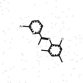 CC(=O)c1cccc(/C(C)=N/c2c(C)cc(C)cc2Cl)n1